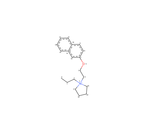 CCC[N+]1(CCOc2ccc3ccccc3c2)CCCC1